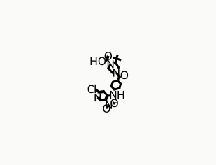 CC(C)(C)C1CN(C(=O)C2CCC(Nc3cc(Cl)ncc3[N+](=O)[O-])CC2)CCN1C(=O)O